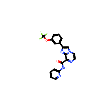 O=C(Nc1ccccn1)c1nccn2cc(-c3cccc(OC(F)(F)F)c3)nc12